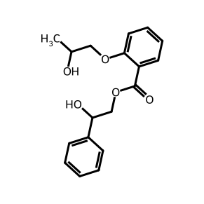 CC(O)COc1ccccc1C(=O)OCC(O)c1ccccc1